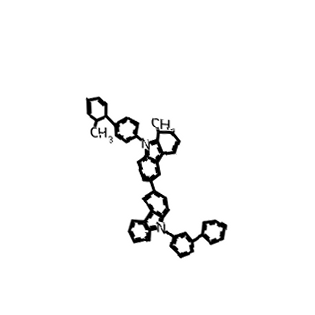 CC1CC=Cc2c1n(-c1ccc(C3C=CC=CC3C)cc1)c1ccc(-c3ccc4c(c3)c3ccccc3n4-c3cccc(-c4ccccc4)c3)cc21